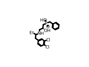 CCC(Cc1ccc(Cl)c(Cl)c1)NC[C@H](O)CP(=O)(O)Cc1ccccc1